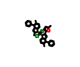 CC1=Cc2c(ccc(C)c2-c2ccccc2)[CH]1[Zr]([Cl])([Cl])[CH]1C(c2ccc(C)o2)=Cc2c1ccc(C)c2-c1ccccc1